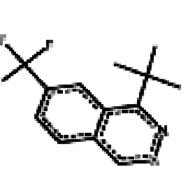 CC(C)(C)c1nncc2ccc(C(F)(F)F)cc12